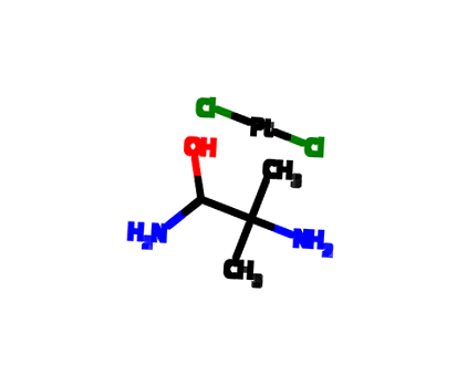 CC(C)(N)C(N)O.[Cl][Pt][Cl]